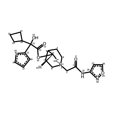 O=C(C[N+]12CCC(CC1)[C@@H](OC(=O)C(O)(c1cccs1)C1CCC1)C2)Nc1ccon1